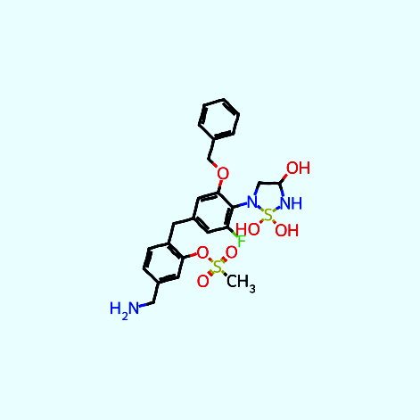 CS(=O)(=O)Oc1cc(CN)ccc1Cc1cc(F)c(N2CC(O)NS2(O)O)c(OCc2ccccc2)c1